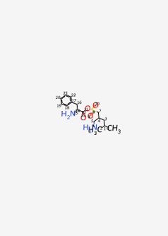 CC(C)CC(CN)CS(=O)(=O)OC(=O)[C@@H](N)Cc1ccccc1